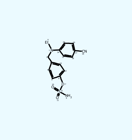 CCN(Cc1ccc(OS(N)(=O)=O)cc1)c1ccc(C#N)cc1